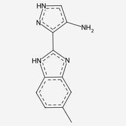 Cc1ccc2[nH]c(-c3n[nH]cc3N)nc2c1